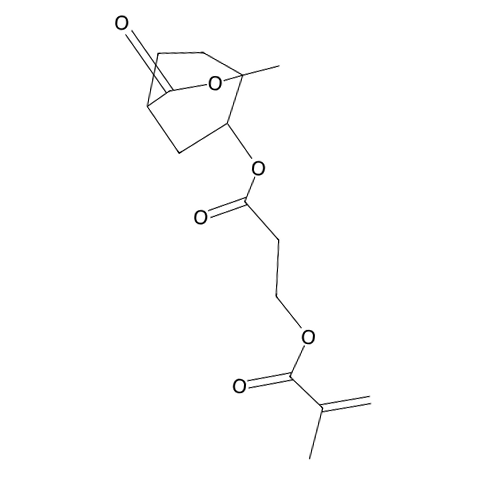 C=C(C)C(=O)OCCC(=O)OC1CC2CCC1(C)OC2=O